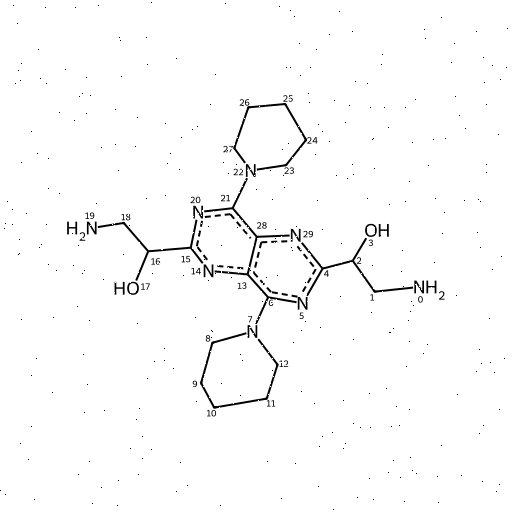 NCC(O)c1nc(N2CCCCC2)c2nc(C(O)CN)nc(N3CCCCC3)c2n1